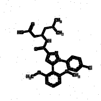 COc1cccc(OC)c1-c1cc(C(=O)N[C@@H](CC(=O)O)CC(C)C)nn1-c1ccc(Cl)cc1